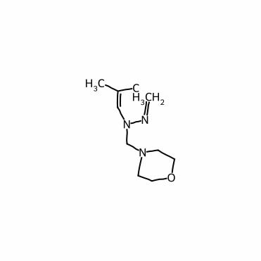 C=NN(C=C(C)C)CN1CCOCC1